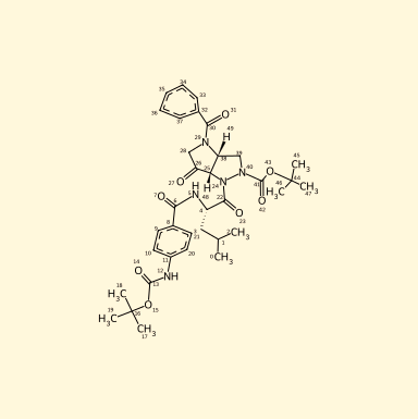 CC(C)C[C@H](NC(=O)c1ccc(NC(=O)OC(C)(C)C)cc1)C(=O)N1[C@@H]2C(=O)CN(C(=O)c3ccccc3)[C@@H]2CN1C(=O)OC(C)(C)C